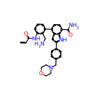 C=CC(=O)Nc1cccc(-c2ccc(C(N)=O)c3[nH]c(-c4ccc(CN5CCOCC5)cc4)cc23)c1CN